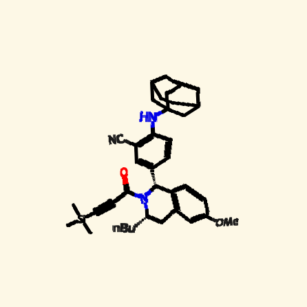 CCCC[C@H]1Cc2cc(OC)ccc2[C@@H](c2ccc(NC34CC5CC(CC(C5)C3)C4)c(C#N)c2)N1C(=O)C#C[Si](C)(C)C